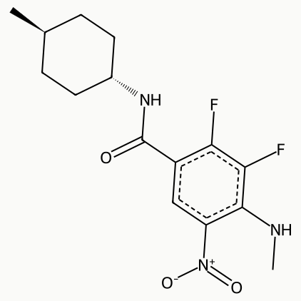 CNc1c([N+](=O)[O-])cc(C(=O)N[C@H]2CC[C@H](C)CC2)c(F)c1F